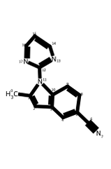 Cc1cc2cc(C#N)ccc2n1-c1ncccn1